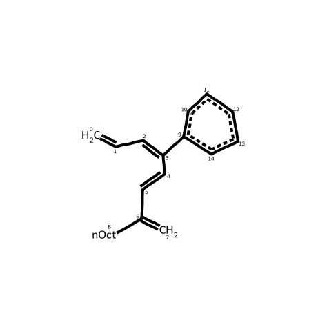 C=CC=C(C=CC(=C)CCCCCCCC)c1ccccc1